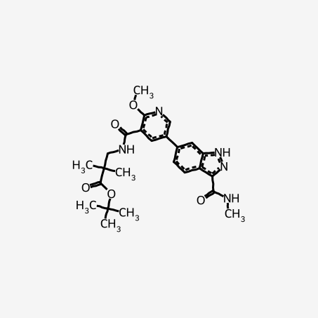 CNC(=O)c1n[nH]c2cc(-c3cnc(OC)c(C(=O)NCC(C)(C)C(=O)OC(C)(C)C)c3)ccc12